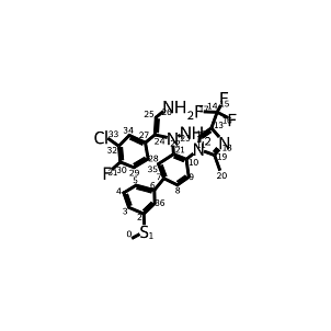 CSc1cccc(-c2ccc(-n3cc(C(F)(F)F)nc3C)c(N(N)/C(=C\N)c3ccc(F)c(Cl)c3)c2)c1